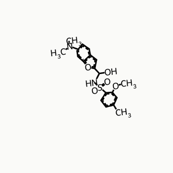 COc1cc(C)ccc1S(=O)(=O)NC(O)c1cc2ccc(N(C)C)cc2o1